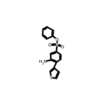 Nc1cc(S(=O)(=O)Oc2ccccc2)ccc1-c1ccsc1